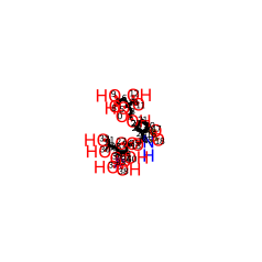 O=C(O)CC(O)(CC(=O)O)C(=O)O.O=C1NS(=O)(=O)c2ccccc21.O=C1O[C@H]([C@@H](O)CO)C(OP(=O)(O)O)=C1O